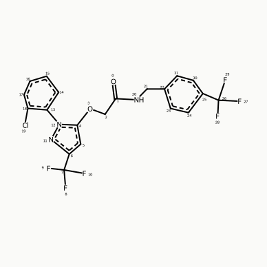 O=C(COc1cc(C(F)(F)F)nn1-c1ccccc1Cl)NCc1ccc(C(F)(F)F)cc1